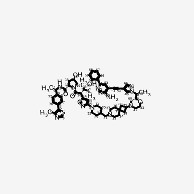 Cc1ncsc1-c1ccc([C@H](C)NC(=O)[C@@H]2C[C@@H](O)CN2C(=O)[C@@H](c2cc(N3CCC(CN4CCC5(CC4)CC(N4CCO[C@@H]([C@H](C)n6cc(C#Cc7cc(-c8ccccc8O)nnc7N)cn6)C4)C5)CC3)no2)C(C)C)cc1